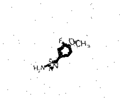 COc1ccc(-c2nnc(N)s2)cc1F